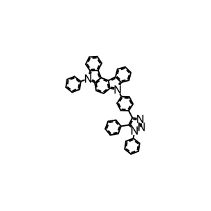 c1ccc(-c2c(-c3ccc(-n4c5ccccc5c5c6c7ccccc7n(-c7ccccc7)c6ccc54)cc3)nnn2-c2ccccc2)cc1